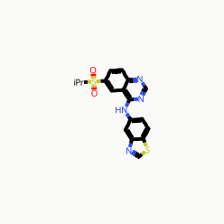 CC(C)S(=O)(=O)c1ccc2ncnc(Nc3ccc4scnc4c3)c2c1